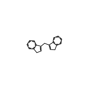 C1=C(CC2=CCc3ccccc32)c2ccccc2C1